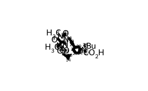 Cn1c(=O)c2c(nc(S(=O)(=O)CC3CC3)n2C)n(CC#Cc2cccc(N(C(=O)O)C(C)(C)C)c2)c1=O